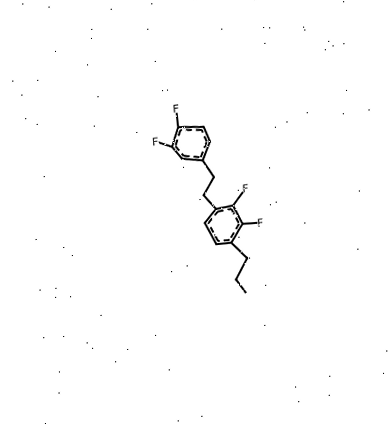 CCCc1ccc(CCc2ccc(F)c(F)c2)c(F)c1F